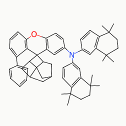 CC1(C)CCC(C)(C)c2cc(N(c3ccc4c(c3)C(C)(C)CCC4(C)C)c3ccc4c(c3)C3(c5c(cccc5-c5ccccc5)O4)C4CC5CC6CC3C64C5)ccc21